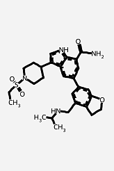 CCS(=O)(=O)N1CCC(c2c[nH]c3c(C(N)=O)cc(-c4cc(CNC(C)C)c5c(c4)OCC5)cc23)CC1